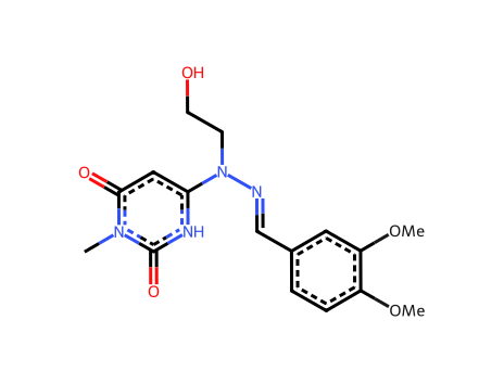 COc1ccc(C=NN(CCO)c2cc(=O)n(C)c(=O)[nH]2)cc1OC